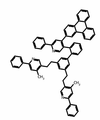 Cc1cc(-c2ccccc2)ncc1CCc1cc(CCc2cnc(-c3ccccc3)cc2C)cc(-c2ccccc2-c2cnc(-c3ccccc3)cc2-c2ccc3c4ccccc4c4ccccc4c3c2)c1